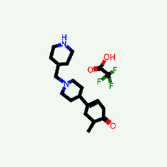 CC1CC(C2CCN(CC3CCNCC3)CC2)=CCC1=O.O=C(O)C(F)(F)F